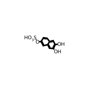 O=S(=O)(O)Oc1ccc2cc(O)c(O)cc2c1